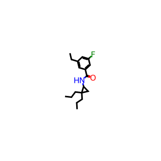 CCCC1(CCC)CC1NC(=O)c1cc(F)cc(CC)c1